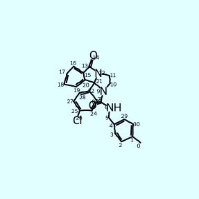 Cc1ccc(CNC(=O)N2CCN3C(=O)c4ccccc4C23c2ccc(Cl)cc2)cc1